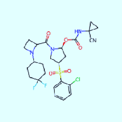 N#CC1(NC(=O)O[C@H]2C[C@@H](S(=O)(=O)c3ccccc3Cl)CN2C(=O)C2CCN2C2CCC(F)(F)CC2)CC1